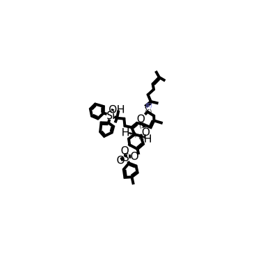 CC(C)=CCC/C(C)=C/[C@@H]1CC(C)=C[C@]2(C=C(CCC(C)(C)[Si](O)(c3ccccc3)c3ccccc3)[C@H]3CC(OS(=O)(=O)c4ccc(C)cc4)C(C)=C[C@H]3O2)O1